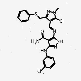 Cn1nc(CSc2ccccc2)c(/C=N/c2[nH]nc(Nc3cccc(Cl)c3)c2C(N)=O)c1Cl